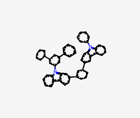 c1ccc(-c2cc(-c3ccccc3)cc(-n3c4ccccc4c4ccc(-c5cccc(-c6ccc7c(c6)c6ccccc6n7-c6ccccc6)c5)cc43)c2)cc1